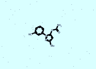 CC(C)(C)c1cc(OC(N)=O)n(-c2cccc(C#N)c2)n1